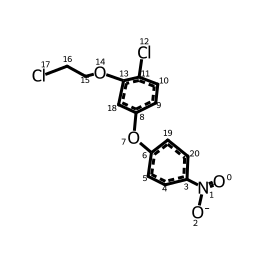 O=[N+]([O-])c1ccc(Oc2ccc(Cl)c(OCCCl)c2)cc1